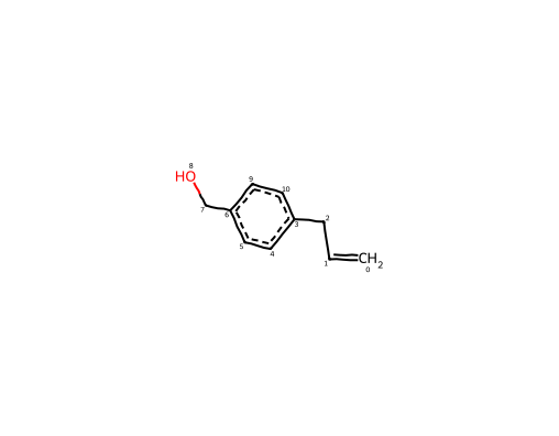 C=CCc1ccc(CO)cc1